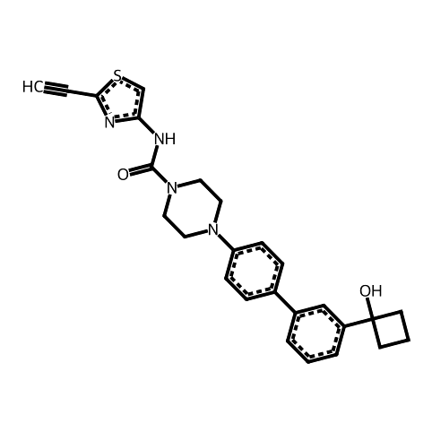 C#Cc1nc(NC(=O)N2CCN(c3ccc(-c4cccc(C5(O)CCC5)c4)cc3)CC2)cs1